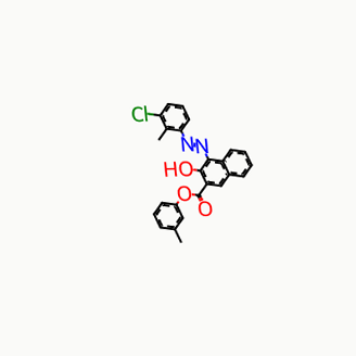 Cc1cccc(OC(=O)c2cc3ccccc3c(N=Nc3cccc(Cl)c3C)c2O)c1